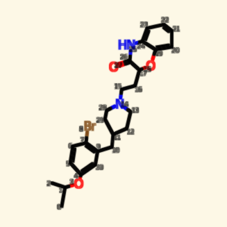 CC(C)Oc1ccc(Br)c(CC2CCN(CCC3Oc4ccccc4NC3=O)CC2)c1